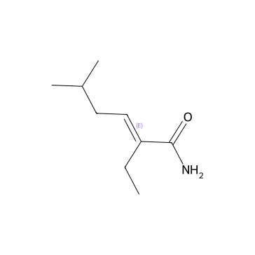 CC/C(=C\CC(C)C)C(N)=O